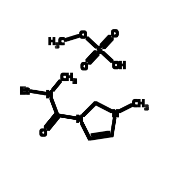 CCN(C)C(=O)N1C=CN(C)C1.COS(=O)(=O)O